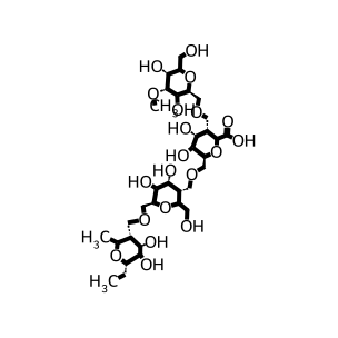 CC[C@@H]1OC(C)[C@H](COC[C@@H]2OC(CO)[C@@H](COC[C@@H]3OC(C(=O)O)[C@@H](COC[C@@H]4OC(CO)[C@@H](O)[C@@H](OC)C4O)[C@@H](O)C3O)[C@@H](O)C2O)[C@H](O)C1O